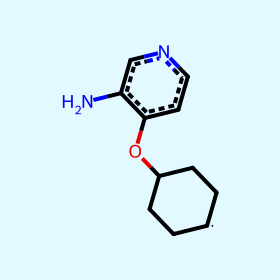 Nc1cnccc1OC1CC[CH]CC1